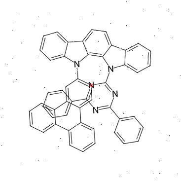 c1ccc(-c2nc(-c3ccccc3)nc(-n3c4ccccc4c4ccc5c6ccccc6n(-c6ccc7c8ccccc8c8ccccc8c7c6)c5c43)n2)cc1